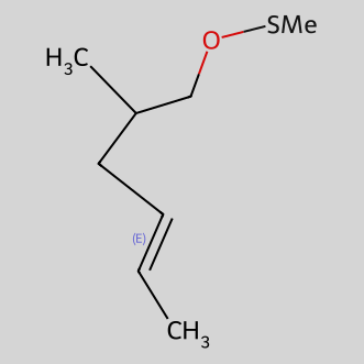 C/C=C/CC(C)COSC